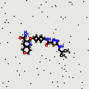 CC(C)CNc1nnc(C(=O)NC2CC3(C2)CC(Oc2nc4c(cc2C(N)=O)COCC4)C3)s1